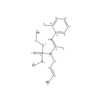 CCOP(=O)(SCC(C)C)N(CC=CC#N)C(C)=Nc1ccccc1C